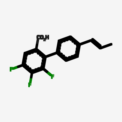 CC=Cc1ccc(-c2c(C(=O)O)cc(F)c(F)c2F)cc1